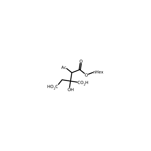 CCCCCCOC(=O)C(C(C)=O)C(O)(CC(=O)O)C(=O)O